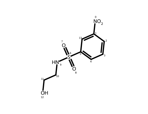 O=[N+]([O-])c1cccc(S(=O)(=O)NCCO)c1